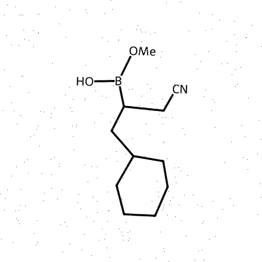 COB(O)C(CC#N)CC1CCCCC1